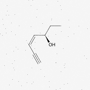 C#C/C=C\[C@H](O)CC